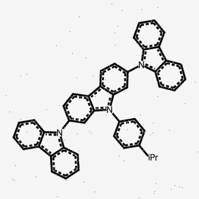 CC(C)c1ccc(-n2c3cc(-n4c5ccccc5c5ccccc54)ccc3c3ccc(-n4c5ccccc5c5ccccc54)cc32)cc1